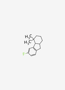 CC1(C)CCCC2Cc3ccc(F)cc3C21